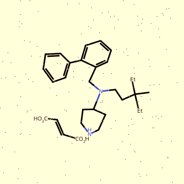 CCC(C)(CC)CCN(Cc1ccccc1-c1ccccc1)C1CCNCC1.O=C(O)C=CC(=O)O